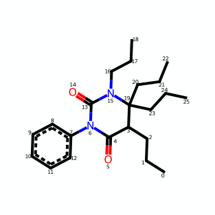 CCCC1C(=O)N(c2ccccc2)C(=O)N(CCC)C1(CCC)CCC